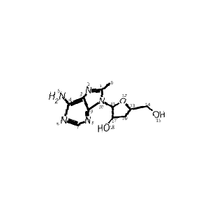 Cc1nc2c(N)ncnc2n1C1OC(CO)CC1O